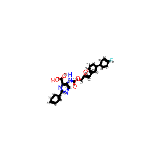 O=C(Nc1cnc(-c2ccccc2)nc1C(=O)O)OCc1cc2cc(-c3ccc(F)cc3)ccc2o1